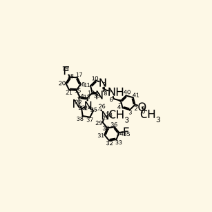 COc1ccc(CNc2nccc(-c3c(-c4ccc(F)cc4)nc4n3[C@H](CN(C)Cc3cccc(F)c3)CC4)n2)cc1